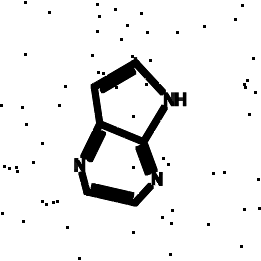 [c]1cc2nccnc2[nH]1